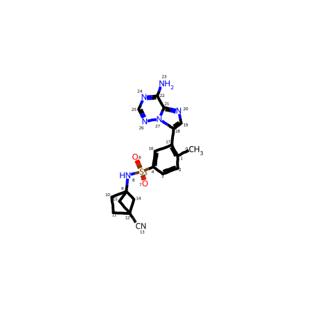 Cc1ccc(S(=O)(=O)NC23CCC(C#N)(C2)C3)cc1-c1cnc2c(N)ncnn12